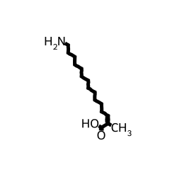 CC(=CCCCCCCCCCCCCN)C(=O)O